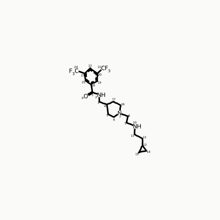 O=C(NCC1CCN(CCNCCC2CC2)CC1)c1cc(C(F)(F)F)cc(C(F)(F)F)c1